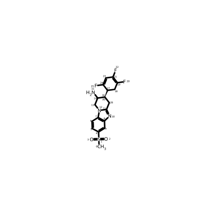 CS(=O)(=O)c1ccc2c(c1)nc1n2CC(N)[C@@H](C2CC(F)=C(F)C=C2F)C1